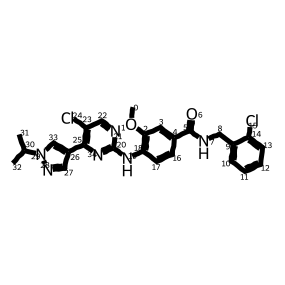 COc1cc(C(=O)NCc2ccccc2Cl)ccc1Nc1ncc(Cl)c(-c2cnn(C(C)C)c2)n1